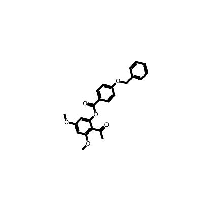 [CH2]C(=O)c1c(OC)cc(OC)cc1OC(=O)c1ccc(OCc2ccccc2)cc1